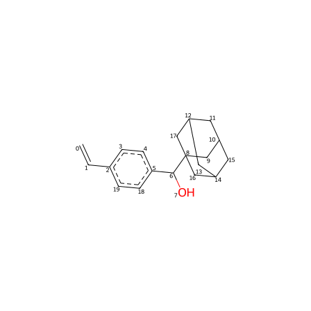 C=Cc1ccc(C(O)C23CC4CC(CC(C4)C2)C3)cc1